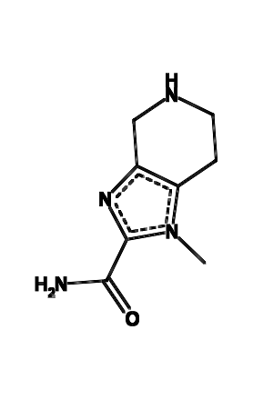 Cn1c(C(N)=O)nc2c1CCNC2